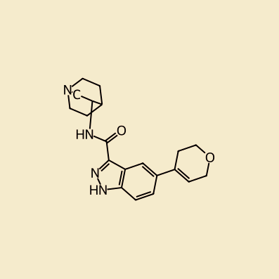 O=C(NC1CN2CCC1CC2)c1n[nH]c2ccc(C3=CCOCC3)cc12